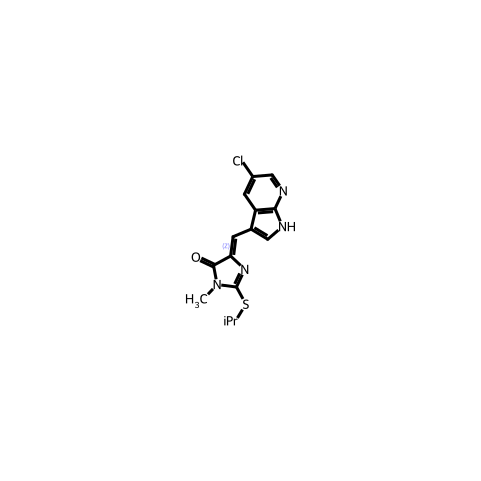 CC(C)SC1=N/C(=C\c2c[nH]c3ncc(Cl)cc23)C(=O)N1C